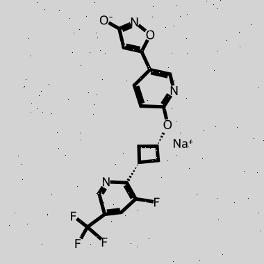 [Na+].[O-]c1cc(-c2ccc(O[C@H]3C[C@@H](c4ncc(C(F)(F)F)cc4F)C3)nc2)on1